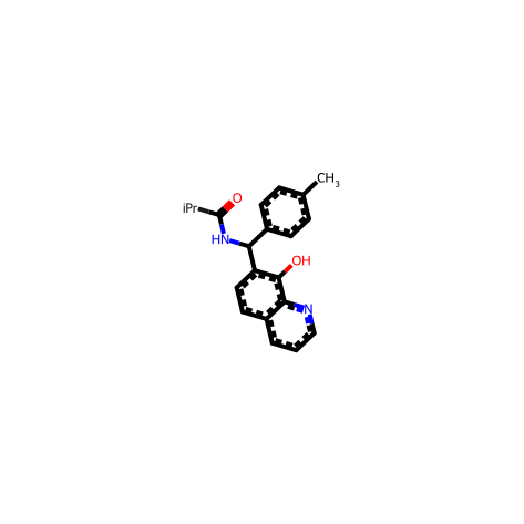 Cc1ccc(C(NC(=O)C(C)C)c2ccc3cccnc3c2O)cc1